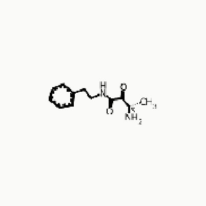 C[C@H](N)C(=O)C(=O)NCCc1ccccc1